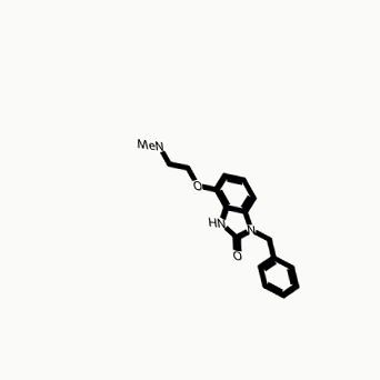 CNCCOc1cccc2c1[nH]c(=O)n2Cc1ccccc1